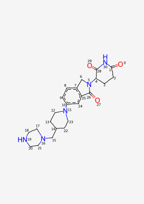 O=C1CCC(N2Cc3ccc(N4CCC(CN5CCNCC5)CC4)cc3C2=O)C(=O)N1